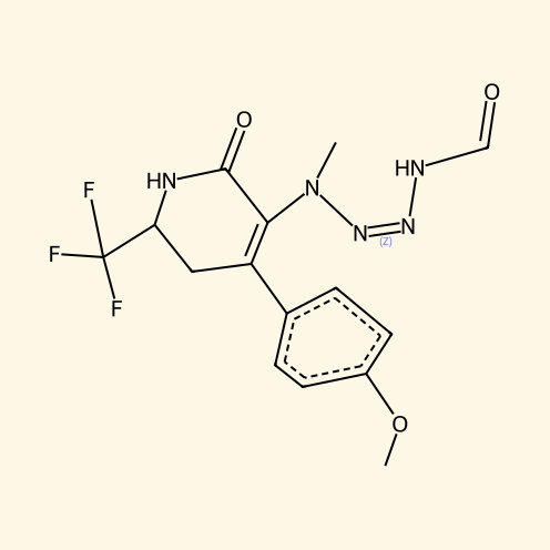 COc1ccc(C2=C(N(C)/N=N\NC=O)C(=O)NC(C(F)(F)F)C2)cc1